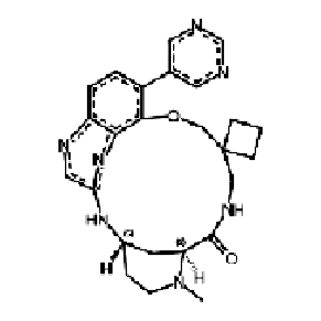 CN1CC[C@H]2C[C@H]1C(=O)NCC1(CCC1)COc1c(-c3cncnc3)ccc3ncc(nc13)N2